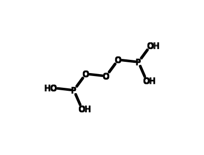 OP(O)OOOP(O)O